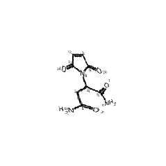 NC(=O)CC(C(N)=O)N1C(=O)C=CC1=O